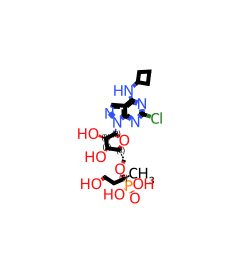 C[C@](CCO)(OC[C@H]1O[C@@H](n2ncc3c(NC4CCC4)nc(Cl)nc32)[C@H](O)[C@@H]1O)P(=O)(O)O